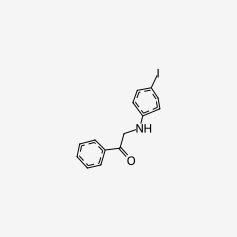 O=C(CNc1ccc(I)cc1)c1ccccc1